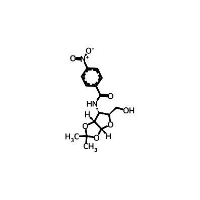 CC1(C)O[C@H]2O[C@H](CO)[C@@H](NC(=O)c3ccc([N+](=O)[O-])cc3)[C@H]2O1